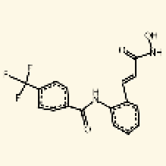 O=C(/C=C/c1ccccc1NC(=O)c1ccc(C(F)(F)F)cc1)NO